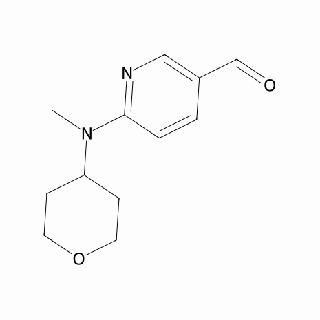 CN(c1ccc(C=O)cn1)C1CCOCC1